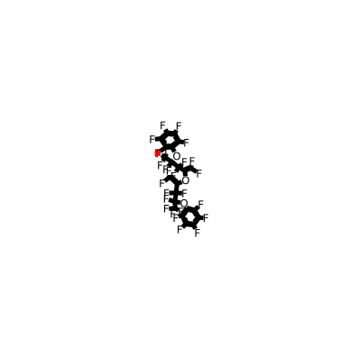 FC(F)=C(OC(=C(F)F)C(F)(F)C(F)(Oc1c(F)c(F)c(F)c(F)c1F)C(F)(F)F)C(F)(F)C(F)(Oc1c(F)c(F)c(F)c(F)c1F)C(F)(F)F